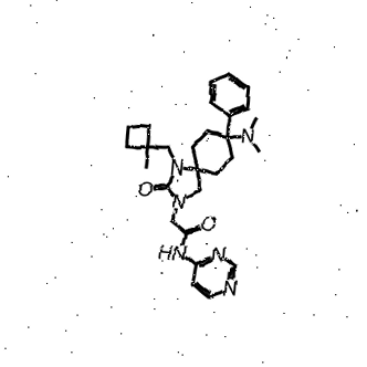 CN(C)C1(c2ccccc2)CCC2(CC1)CN(CC(=O)Nc1ccncn1)C(=O)N2CC1(C)CCC1